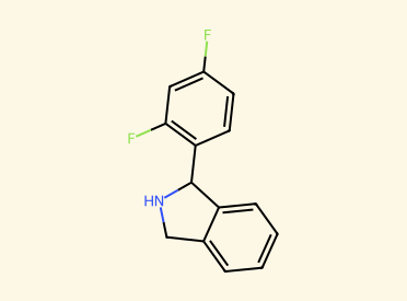 Fc1ccc(C2NCc3ccccc32)c(F)c1